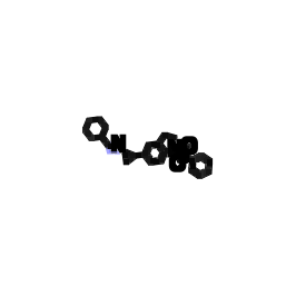 O=S(=O)(c1ccccc1)N1CCc2cc(C3CC3/N=C/C3CCCCC3)ccc21